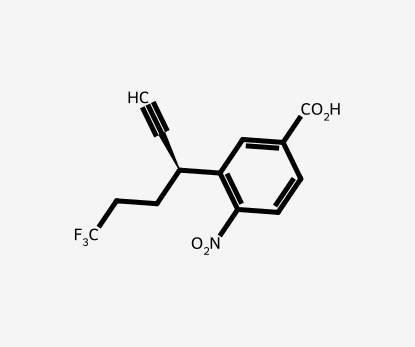 C#C[C@H](CCC(F)(F)F)c1cc(C(=O)O)ccc1[N+](=O)[O-]